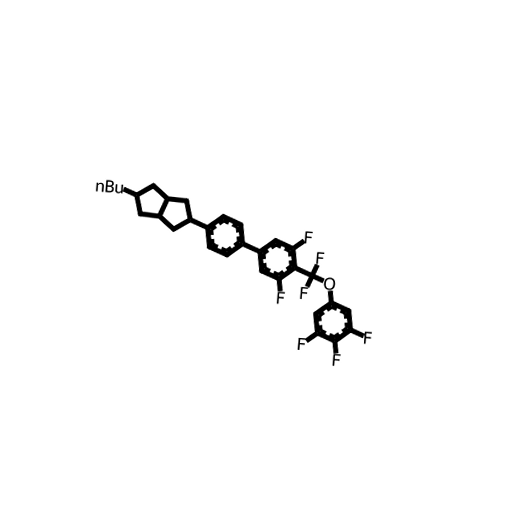 CCCCC1CC2CC(c3ccc(-c4cc(F)c(C(F)(F)Oc5cc(F)c(F)c(F)c5)c(F)c4)cc3)CC2C1